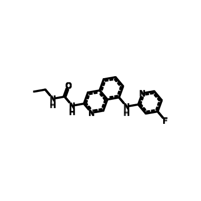 CCNC(=O)Nc1cc2cccc(Nc3cc(F)ccn3)c2cn1